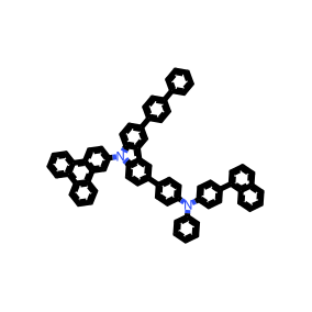 c1ccc(-c2ccc(-c3ccc4c(c3)c3cc(-c5ccc(N(c6ccccc6)c6ccc(-c7cccc8ccccc78)cc6)cc5)ccc3n4-c3ccc4c5ccccc5c5ccccc5c4c3)cc2)cc1